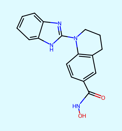 O=C(NO)c1ccc2c(c1)CCCN2c1nc2ccccc2[nH]1